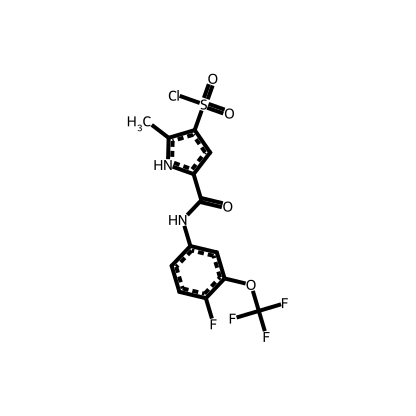 Cc1[nH]c(C(=O)Nc2ccc(F)c(OC(F)(F)F)c2)cc1S(=O)(=O)Cl